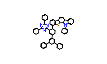 C1=CCCC(c2nc(C3C=CCCC3)nc(C3C=C(C4=CC(c5ccccc5)CC(C5=CCCC=C5)=C4)CCC3c3cccc4c3SC3C4C=CC4C5=CCCC=C5N(C5=CC=CCC5)C43)n2)=C1